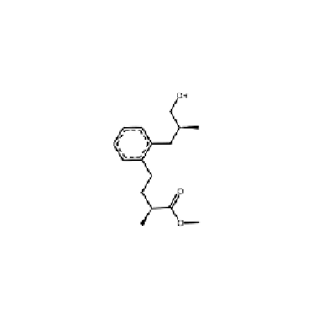 COC(=O)[C@@H](C)CCc1ccccc1C[C@H](C)CO